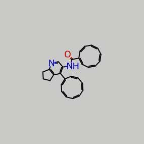 O=C(Nc1cnc2c(c1-c1ccccccccc1)CCC2)c1ccccccccc1